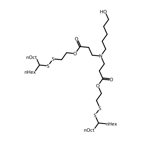 CCCCCCCCC(CCCCCC)SSCCOC(=O)CCN(CCCCCO)CCC(=O)OCCSSC(CCCCCC)CCCCCCCC